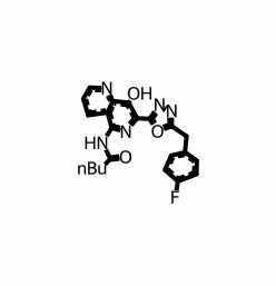 CCCCC(=O)Nc1nc(-c2nnc(Cc3ccc(F)cc3)o2)c(O)c2ncccc12